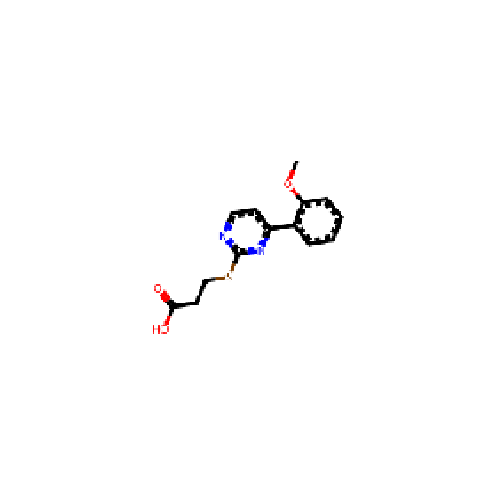 COc1ccccc1-c1ccnc(SCCC(=O)O)n1